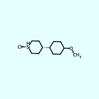 COC1CCC([C@H]2CC[Si@H](Cl)CC2)CC1